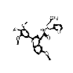 COc1ccc2nc(-c3cc(OC)c(OC)c(OC)c3)cc(C(=O)N[C@@H](CCO)Cc3ccco3)c2c1